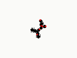 c1ccc(-n2ccc3c2ccc2c4cc(-c5ccc(N(c6ccc(-c7ncccn7)cc6)c6ccc(-c7ncccn7)cc6)cc5)ccc4n(-c4ccccc4)c23)cc1